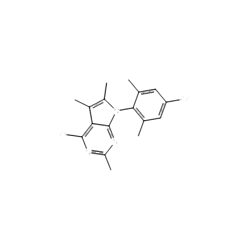 Cc1nc(Cl)c2c(C)c(C)n(-c3c(C)cc(C(F)(F)F)cc3C)c2n1